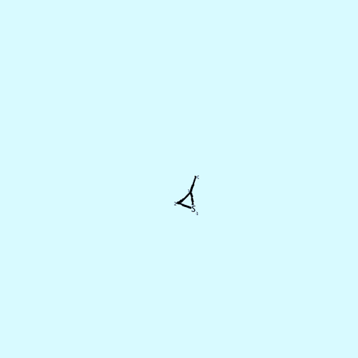 [CH2]C1CS1